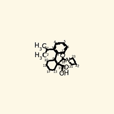 CC(C)c1ccccc1C1CCCCC1(C(=O)O)C(=O)N1CCC1